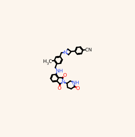 Cc1cc(CN2CC(c3ccc(C#N)cc3)C2)ccc1CNc1cccc2c1C(=O)N(C1CCC(=O)NC1)C2=O